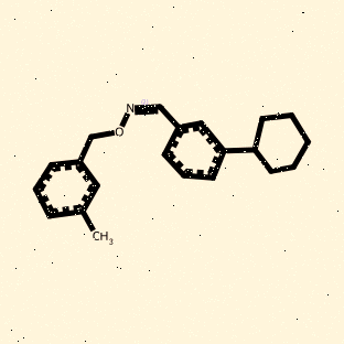 Cc1cccc(CO/N=[C]\c2cccc(C3CCCCC3)c2)c1